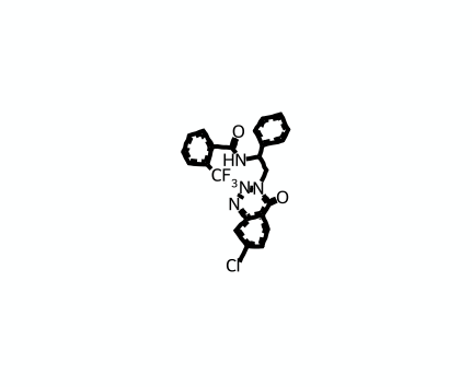 O=C(NC(Cn1nnc2cc(Cl)ccc2c1=O)c1ccccc1)c1ccccc1C(F)(F)F